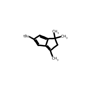 CC1=C2C=C(C(C)(C)C)C=C2C(C)(C)C1